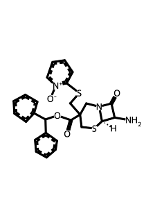 NC1C(=O)N2CC(CSc3cccc[n+]3[O-])(C(=O)OC(c3ccccc3)c3ccccc3)CS[C@H]12